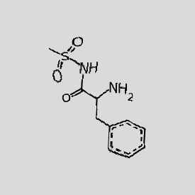 CS(=O)(=O)NC(=O)C(N)Cc1ccccc1